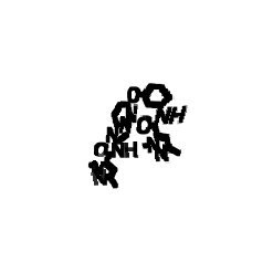 Cc1cc(C(=O)Nc2cccc(Oc3ccc4nc(NC(=O)c5cc(C)nn5C)cn4n3)c2)n(C)n1